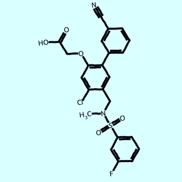 CN(Cc1cc(-c2cccc(C#N)c2)c(OCC(=O)O)cc1Cl)S(=O)(=O)c1cccc(F)c1